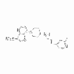 CSc1csc2c(N3CCC(NCCCc4ccnc(C)c4)CC3)ncnc12